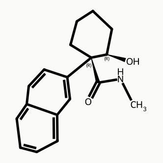 CNC(=O)[C@@]1(c2ccc3ccccc3c2)CCCC[C@H]1O